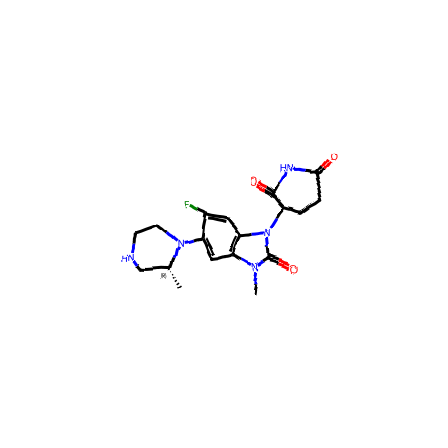 C[C@@H]1CNCCN1c1cc2c(cc1F)n(C1CCC(=O)NC1=O)c(=O)n2C